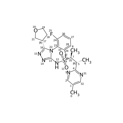 Cc1cnc([C@@H](C)[C@H](C)S(=O)(=O)Nc2nnc([C@H]3CCOC3)n2-c2c(F)cccc2F)nc1